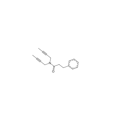 CC#CCN(CC#CC)C(=O)CCc1ccccc1